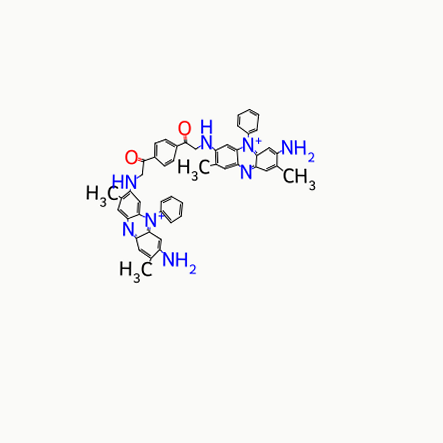 Cc1cc2nc3cc(C)c(NCC(=O)c4ccc(C(=O)CNc5cc6c(cc5C)nc5cc(C)c(N)cc5[n+]6-c5ccccc5)cc4)cc3[n+](-c3ccccc3)c2cc1N